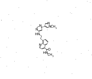 CNC(=O)c1ccnc2c(CCNc3cc(-c4cnn(C)c4)ncn3)cccc12